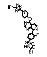 CCC(=O)NS(=O)(=O)c1ccc(-c2nccc3c(OC4CCN(c5nc(C(C)C)no5)CC4)ncnc23)c(F)c1